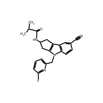 CC(C)C(=O)NC1Cc2c(n(Cc3cccc(F)n3)c3ccc(C#N)cc23)C1